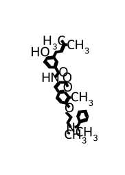 CC(C)=CCc1cc(C(=O)Nc2cc3ccc(OCCCN(C)[C@H](C)c4ccccc4)c(C)c3oc2=O)ccc1O